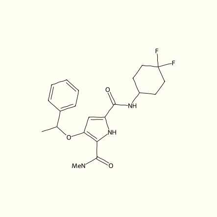 CNC(=O)c1[nH]c(C(=O)NC2CCC(F)(F)CC2)cc1OC(C)c1ccccc1